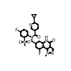 Cn1ncc2c(=O)[nH]c3cc(CN(C(=O)c4ccc(C5CC5)nc4)c4ccc(F)cc4S(C)(=O)=O)cc(F)c3c21